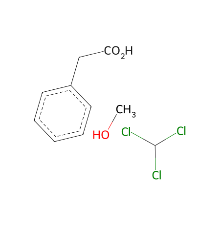 CO.ClC(Cl)Cl.O=C(O)Cc1ccccc1